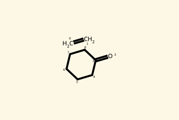 C=C.O=C1CCCCC1